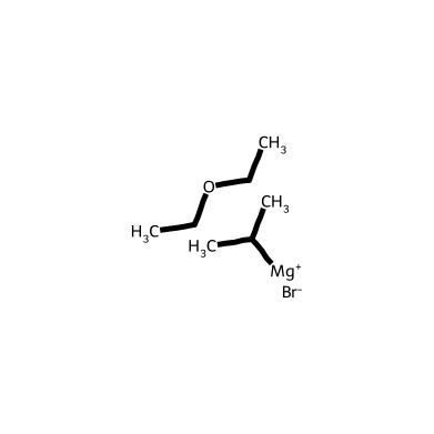 CCOCC.C[CH](C)[Mg+].[Br-]